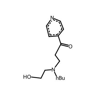 CCCCN(CCO)CCC(=O)c1ccncc1